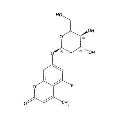 Cc1cc(=O)oc2cc(O[C@@H]3C[C@@H](O)[C@H](O)C(CO)O3)cc(F)c12